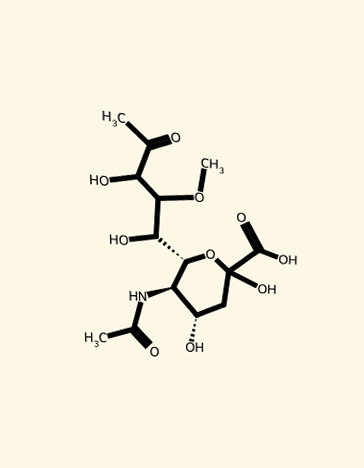 COC(C(O)C(C)=O)C(O)[C@@H]1OC(O)(C(=O)O)C[C@H](O)[C@H]1NC(C)=O